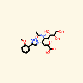 COc1ccccc1-c1cn([C@H]2C=C(C(=O)O)O[C@@H]([C@H](O)[C@H](O)CO)[C@@H]2NC(C)=O)nn1